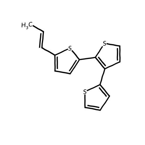 CC=Cc1ccc(-c2sccc2-c2cccs2)s1